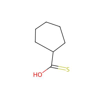 OC(=S)C1CCCCC1